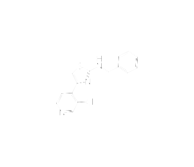 Clc1cnccc1-c1csc(NCc2ccccc2)n1